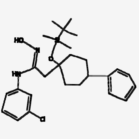 CC(C)(C)[Si](C)(C)OC1(C/C(=N/O)Nc2cccc(Cl)c2)CCC(c2ccccc2)CC1